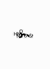 C[Si](C)(C)CCOCc1ccn[nH]c1=O